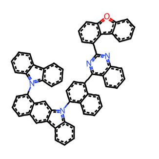 c1cc(-n2c3ccccc3c3ccccc32)c2cc3c(cc2c1)c1ccccc1n3-c1ccc(-c2nc(-c3cccc4oc5ccccc5c34)nc3ccccc23)c2ccccc12